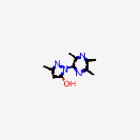 Cc1cc(O)n(-c2nc(C)c(C)nc2C)n1